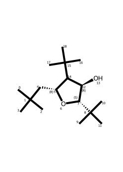 CC(C)(C)C[C@H]1O[C@@H](C(C)(C)C)[C@H](O)C1C(C)(C)C